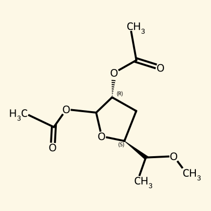 COC(C)[C@@H]1C[C@@H](OC(C)=O)C(OC(C)=O)O1